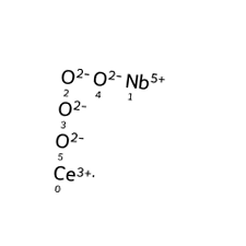 [Ce+3].[Nb+5].[O-2].[O-2].[O-2].[O-2]